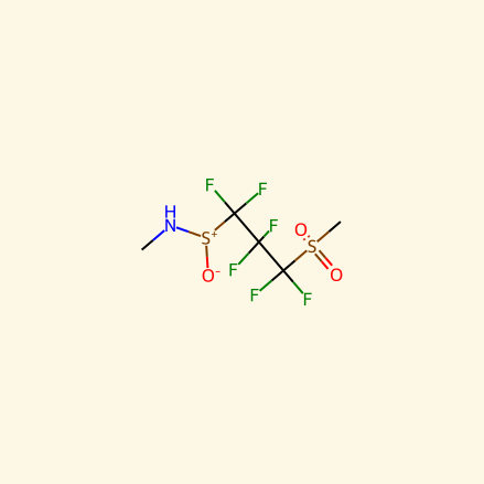 CN[S+]([O-])C(F)(F)C(F)(F)C(F)(F)S(C)(=O)=O